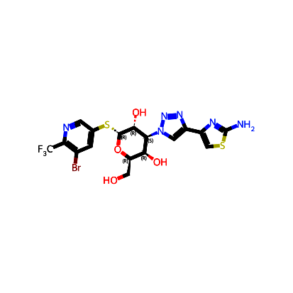 Nc1nc(-c2cn([C@@H]3[C@@H](O)[C@@H](Sc4cnc(C(F)(F)F)c(Br)c4)O[C@H](CO)[C@@H]3O)nn2)cs1